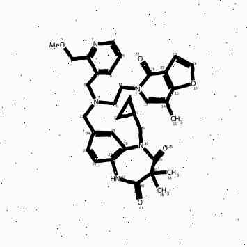 COCc1ncccc1CN(CCn1cc(C)c2occc2c1=O)Cc1ccc2c(c1)N(CC1CC1)C(=O)C(C)(C)C(=O)N2